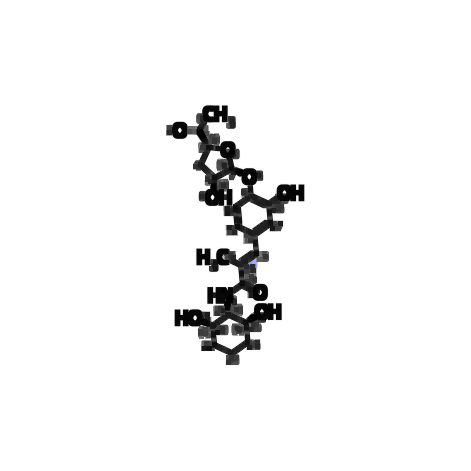 CC(=O)[C@@H]1C[C@H](O)[C@H](Oc2ccc(/C=C(\C)C(=O)N[C@@H]3[C@H](O)CCC[C@@H]3O)cc2O)O1